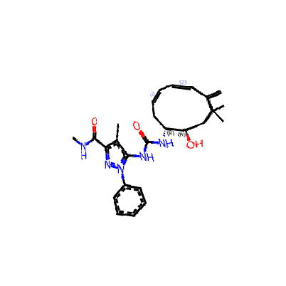 C=C1/C=C\C=C/C[C@@H](NC(=O)Nc2c(C)c(C(=O)NC)nn2-c2ccccc2)[C@H](O)CC1(C)C